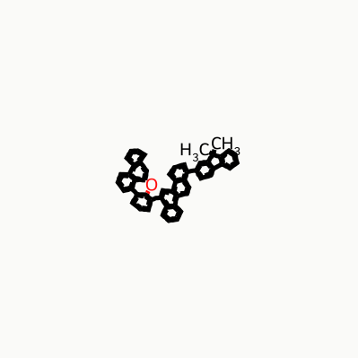 CC1(C)c2ccccc2-c2ccc(-c3cccc4c3ccc3c5ccccc5c(-c5cccc6c5Oc5cc7ccccc7c7cccc-6c57)cc43)cc21